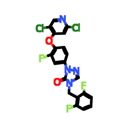 O=c1n(Cc2c(F)cccc2F)cnn1-c1ccc(Oc2cc(Cl)ncc2Cl)c(F)c1